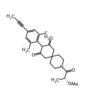 CC#Cc1cc(C)c(C2C(=O)CC3(CCN(C(=O)[C@@H](C)OC)CC3)CC2=O)c(C)c1